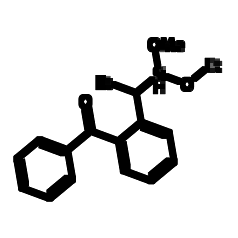 CCO[SiH](OC)C(CC)c1ccccc1C(=O)c1ccccc1